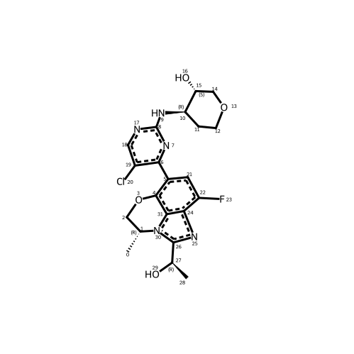 C[C@@H]1COc2c(-c3nc(N[C@@H]4CCOC[C@H]4O)ncc3Cl)cc(F)c3nc([C@@H](C)O)n1c23